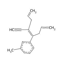 C#CC(CC=C)=C(CC=C)c1cccc(C)c1